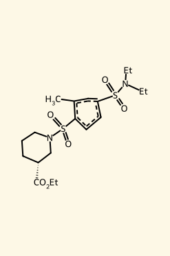 CCOC(=O)[C@@H]1CCCN(S(=O)(=O)c2ccc(S(=O)(=O)N(CC)CC)cc2C)C1